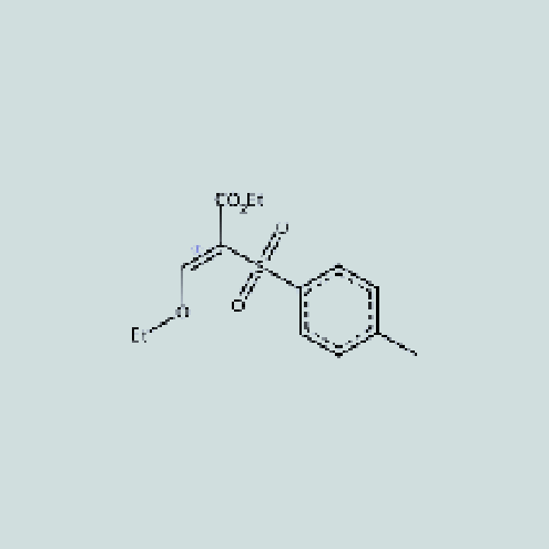 CCO/C=C(/C(=O)OCC)S(=O)(=O)c1ccc(C)cc1